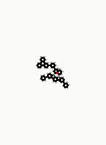 c1ccc(-c2ccc3c(c2)c2ccc4c5cc(-c6ccccc6)ccc5n(-c5cccc(-c6cccc(-c7ccc8c9ccccc9c9ccccc9c8c7)c6)c5)c4c2n3-c2ccccc2)cc1